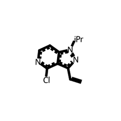 C=Cc1nn(C(C)C)c2ccnc(Cl)c12